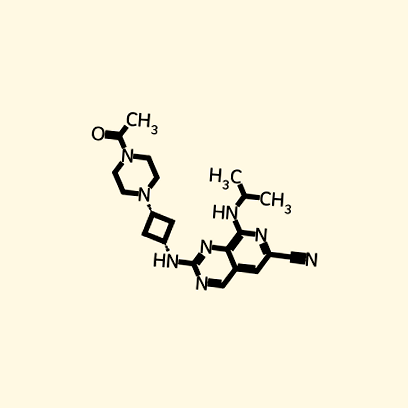 CC(=O)N1CCN([C@H]2C[C@@H](Nc3ncc4cc(C#N)nc(NC(C)C)c4n3)C2)CC1